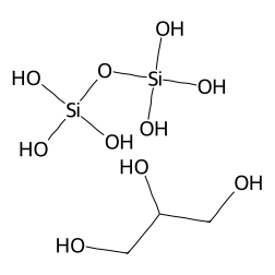 OCC(O)CO.O[Si](O)(O)O[Si](O)(O)O